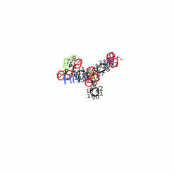 O=COC(C(=O)C(F)(F)F)C1CCC(N(OCc2ccccc2)S(=O)(=O)c2ccc([N+](=O)[O-])cc2)CN1